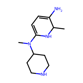 CC1NC(N(C)C2CCNCC2)=CC=C1N